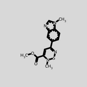 COC(=O)C1=CC(c2ccc3c(c2)ncn3C)=NSN1C